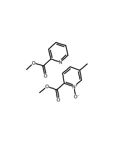 COC(=O)c1ccc(C)c[n+]1[O-].COC(=O)c1ccccn1